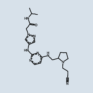 CC(C)NC(=O)Cn1cc(Nc2nccc(NCC3CCCN3CCC#N)n2)cn1